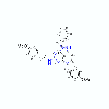 COc1ccc(CCNc2nc3c4c(n2)N(Cc2ccccc2)NC4CCN3Cc2ccc(OC)cc2)cc1